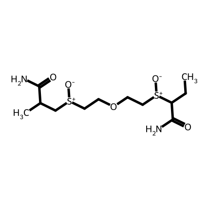 CCC(C(N)=O)[S+]([O-])CCOCC[S+]([O-])CC(C)C(N)=O